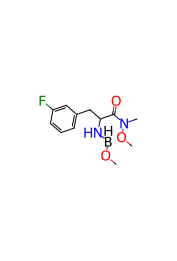 COBNC(Cc1cccc(F)c1)C(=O)N(C)OC